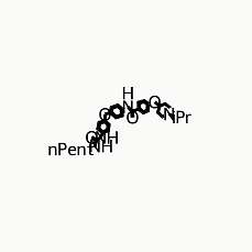 CCCCCNC(=O)Nc1ccc(Oc2ccc(NC(=O)c3ccc(OC4CCN(C(C)C)CC4)cc3)cc2)cc1